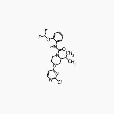 CC(C)C1CN(c2ccnc(Cl)n2)CCN1C(=O)Nc1ccccc1OC(F)F